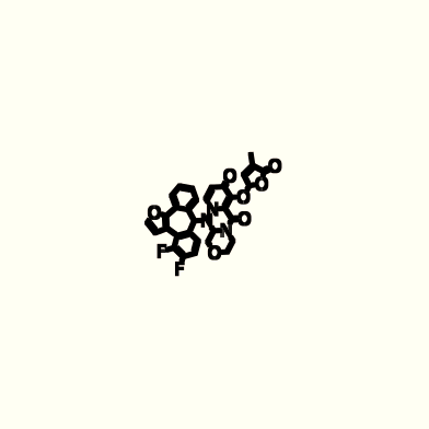 CC1=CC(Oc2c3n(ccc2=O)N(C2c4ccccc4-c4occc4-c4c2ccc(F)c4F)C2COCCN2C3=O)OC1=O